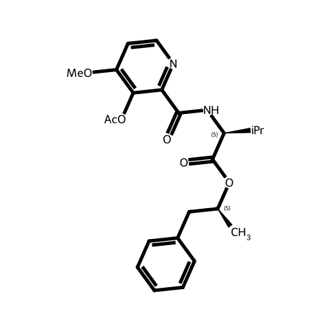 COc1ccnc(C(=O)N[C@H](C(=O)O[C@@H](C)Cc2ccccc2)C(C)C)c1OC(C)=O